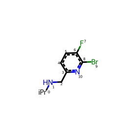 CC(C)NCc1ccc(F)c(Br)n1